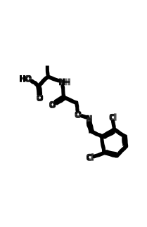 CC(NC(=O)CON=Cc1c(Cl)cccc1Cl)C(=O)O